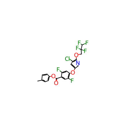 Cc1ccc(OC(=O)c2cc(F)c(Oc3cnc(OCC(F)(F)C(F)F)c(Cl)c3)cc2F)cc1